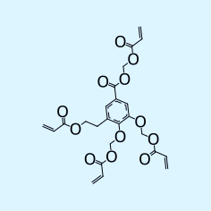 C=CC(=O)OCCc1cc(C(=O)OCOC(=O)C=C)cc(OCOC(=O)C=C)c1OCOC(=O)C=C